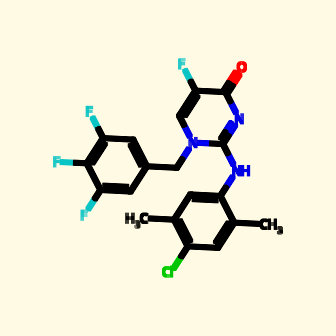 Cc1cc(Nc2nc(=O)c(F)cn2Cc2cc(F)c(F)c(F)c2)c(C)cc1Cl